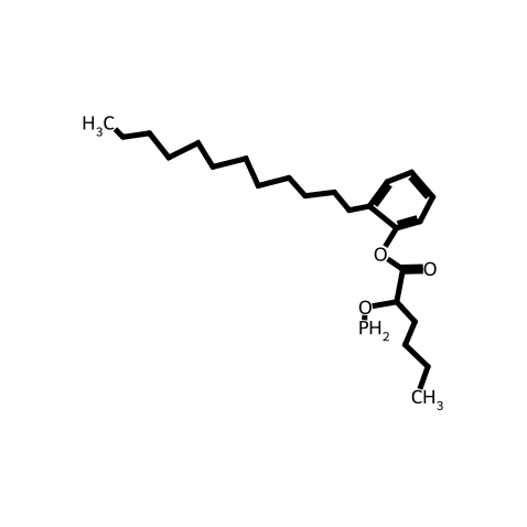 CCCCCCCCCCCCc1ccccc1OC(=O)C(CCCC)OP